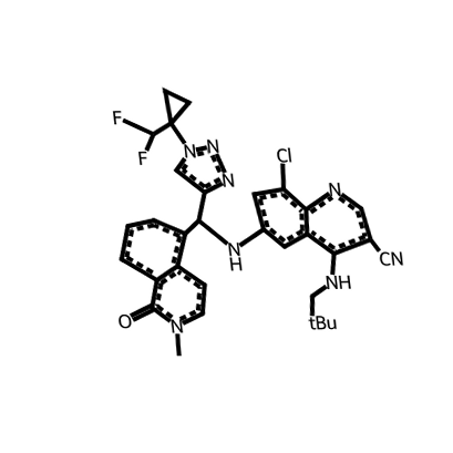 Cn1ccc2c(C(Nc3cc(Cl)c4ncc(C#N)c(NCC(C)(C)C)c4c3)c3cn(C4(C(F)F)CC4)nn3)cccc2c1=O